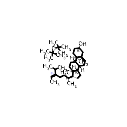 C/C=C(\CC[C@@H](C)[C@H]1CC[C@H]2[C@@H]3CC=C4C[C@@H](O)CC[C@]4(C)[C@H]3CC[C@]12C)C(C)C.CC(C)(C)OC(C)(C)C